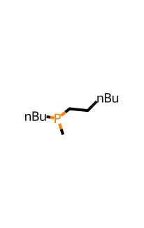 CCCCCCP(C)CCCC